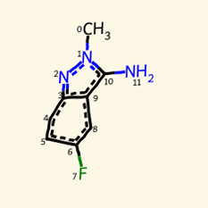 Cn1nc2ccc(F)cc2c1N